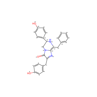 O=C1C(Cc2ccc(O)cc2)=NC2=C(Cc3ccccc3)NC(c3ccc(O)cc3)CN12